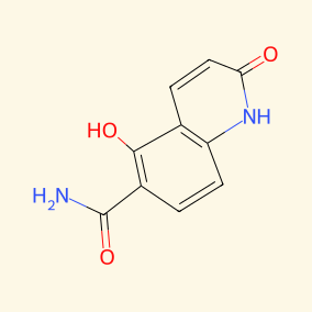 NC(=O)c1ccc2[nH]c(=O)ccc2c1O